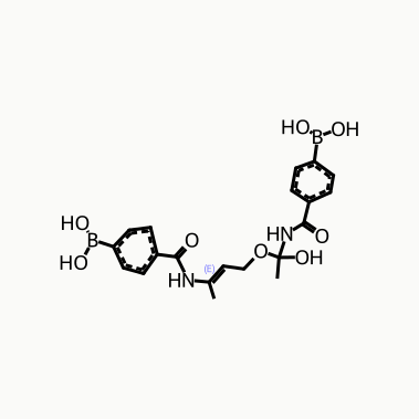 C/C(=C\COC(C)(O)NC(=O)c1ccc(B(O)O)cc1)NC(=O)c1ccc(B(O)O)cc1